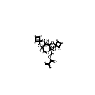 C=C(C)C(=O)OC[C@@]12OC[C@H]3OC4(CCC4)O[C@H]3[C@@H]1OC1(CCC1)O2